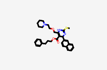 CSC1=NC(c2ccc3ccccc3c2)C(C(=O)OCCCc2ccccc2)=C(COCCN2CCCCC2)N1